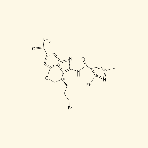 CCn1nc(C)cc1C(=O)Nc1nc2cc(C(N)=O)cc3c2n1[C@@H](CCCBr)CO3